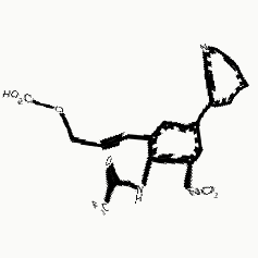 O=C(O)OCC#Cc1cc(-c2cccnc2)cc([N+](=O)[O-])c1NC(=O)C(F)(F)F